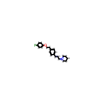 Fc1ccc(OCCc2ccc(/C=C/CN3CCCCC3)cc2)cc1